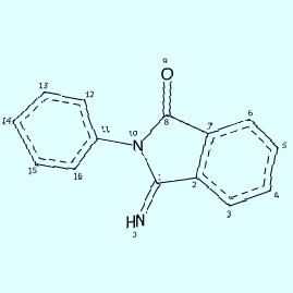 N=C1c2ccccc2C(=O)N1c1ccccc1